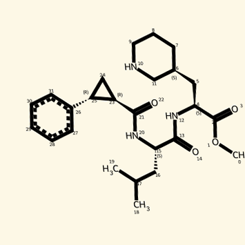 COC(=O)[C@H](C[C@@H]1CCCNC1)NC(=O)[C@H](CC(C)C)NC(=O)[C@@H]1C[C@H]1c1ccccc1